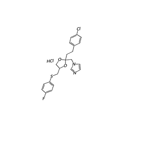 Cl.Fc1ccc(SCC2COC(CCc3ccc(Cl)cc3)(Cn3ccnc3)O2)cc1